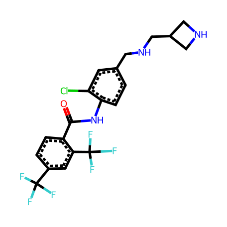 O=C(Nc1ccc(CNCC2CNC2)cc1Cl)c1ccc(C(F)(F)F)cc1C(F)(F)F